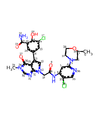 C[C@H]1CN(c2cc(NC(=O)Cn3cc(-c4cc(Cl)c(O)c(C(N)=O)c4)c4c(=O)n(C)cnc43)c(Cl)cn2)CCO1